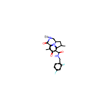 CCN1CC2CC(C)c3c(C(=O)NCc4ccc(F)cc4F)c(=O)c(C)c(n32)C1=O